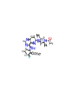 C=CC(=O)N1C[C@@H]2C[C@H]1CN2c1ccc2ncnc(Nc3cccc(F)c3OC)c2n1